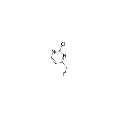 FCc1ccnc(Cl)n1